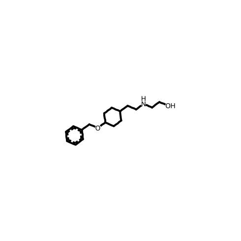 OCCNCCC1CCC(OCc2ccccc2)CC1